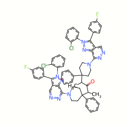 CC(C(=O)C(C)C1(c2ccccc2)CCN(c2nncc3c(-c4ccc(F)cc4)n(-c4ccccc4Cl)nc23)CC1)C1(c2ccccc2)CCN(c2nncc3c(-c4ccc(F)cc4)n(-c4ccccc4Cl)nc23)CC1